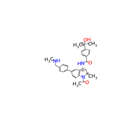 CNCc1ccc(-c2ccc3c(c2)[C@H](NC(=O)c2ccc([Si](C)(C)O)cc2)C[C@H](C)N3C(C)=O)cc1